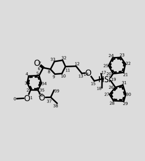 COc1ccc(C(=O)C2CCC(CCOCC(C)(C)[SiH](c3ccccc3)c3ccccc3)CC2)cc1OC(C)C